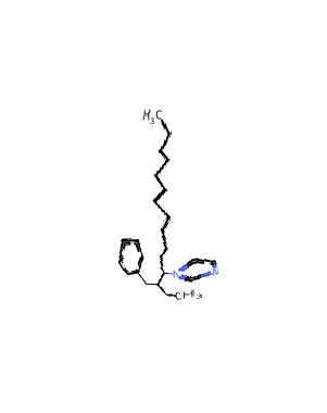 CCCCCCCCCCCC(C(CC)Cc1ccccc1)n1ccnc1